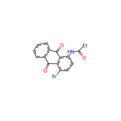 CCC(=O)Nc1ccc(Br)c2c1C(=O)c1ccccc1C2=O